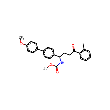 Cc1ccccc1C(=O)CCC(NC(=O)OC(C)(C)C)c1ccc(-c2ccc(OC(F)(F)F)cc2)cc1